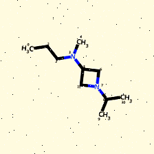 CCCN(C)C1CN(C(C)C)C1